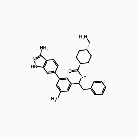 Cc1cc(-c2ccc3c(N)n[nH]c3c2)cc(C(Cc2ccccc2)NC(=O)[C@H]2CC[C@H](CN)CC2)c1